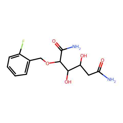 NC(=O)CC(O)C(O)C(OCc1ccccc1F)C(N)=O